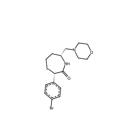 O=C1N[C@@H](CN2CCOCC2)CCS[C@H]1c1ccc(Br)cc1